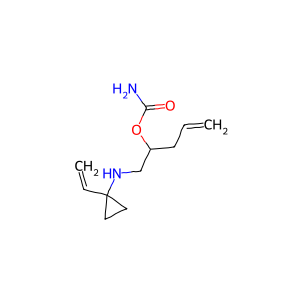 C=CCC(CNC1(C=C)CC1)OC(N)=O